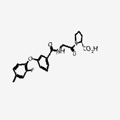 Cc1ccc(Oc2cccc(C(=O)NCC(=O)N3CCC[C@H]3C(=O)O)c2)c(F)c1